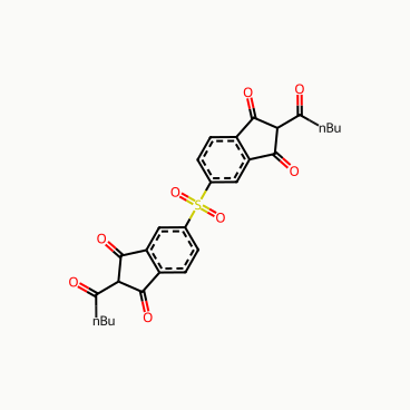 CCCCC(=O)C1C(=O)c2ccc(S(=O)(=O)c3ccc4c(c3)C(=O)C(C(=O)CCCC)C4=O)cc2C1=O